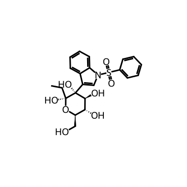 CC[C@]1(O)O[C@H](CO)[C@@H](O)[C@H](O)[C@]1(O)c1cn(S(=O)(=O)c2ccccc2)c2ccccc12